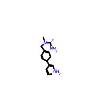 C/C=C\C(=C/N)C1C=CC(CN(C)[C@H](C)N)=CC1